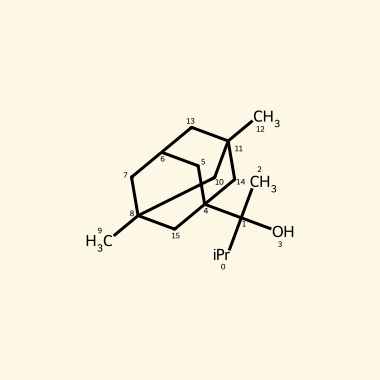 CC(C)C(C)(O)C12CC3CC(C)(CC(C)(C3)C1)C2